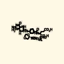 C1COCCO1.CC#N.CCO.CN(C)C=O.Nc1nc(=O)c2c([nH]1)NC[C@@H](CNc1ccc(C(=O)N[C@@H](CCC(=O)O)C(=O)O)cc1)N2